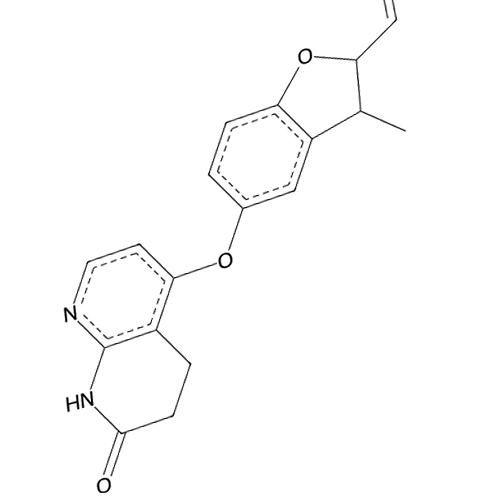 CC1c2cc(Oc3ccnc4c3CCC(=O)N4)ccc2OC1C=O